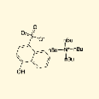 CCCC[N+](CCCC)(CCCC)CCCC.O=S(=O)([O-])c1ccc(O)c2ccccc12